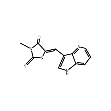 CN1C(=O)/C(=C/c2c[nH]c3cccnc23)SC1=S